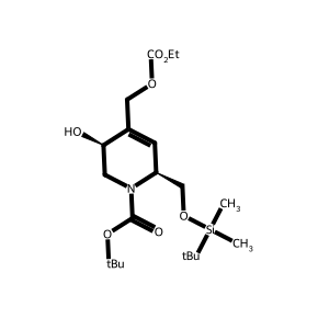 CCOC(=O)OCC1=C[C@@H](CO[Si](C)(C)C(C)(C)C)N(C(=O)OC(C)(C)C)C[C@H]1O